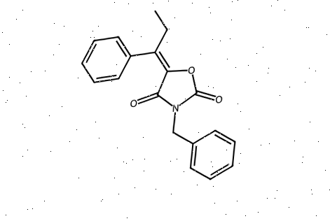 CCC(=C1OC(=O)N(Cc2ccccc2)C1=O)c1ccccc1